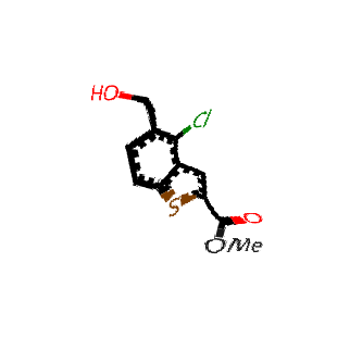 COC(=O)c1cc2c(Cl)c(CO)ccc2s1